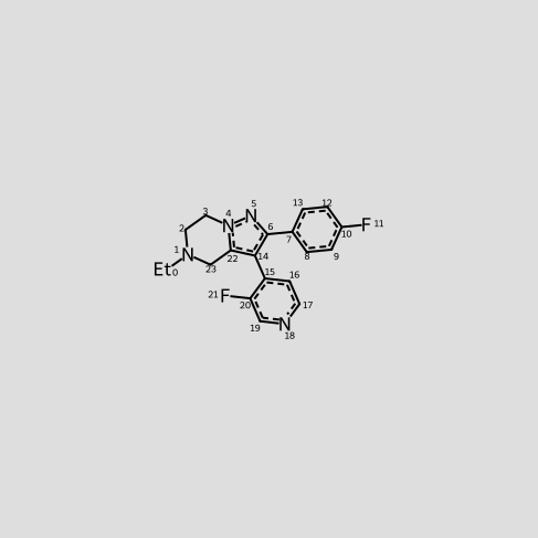 CCN1CCn2nc(-c3ccc(F)cc3)c(-c3ccncc3F)c2C1